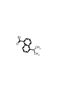 CCC(=O)c1cccc2c(N(C)C)cccc12